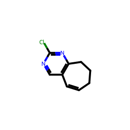 Clc1ncc2c(n1)CCCC=C2